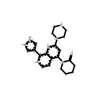 O=C1CCCCN1c1cc(N2CCOCC2)nc2c(-c3cn[nH]c3)nccc12